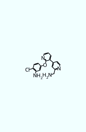 NCc1cc(-c2cccnc2Oc2ccc(Cl)c(N)c2)ccn1